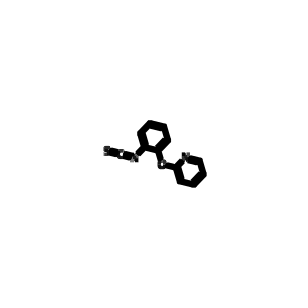 S=C=Nc1ccccc1Oc1ccccn1